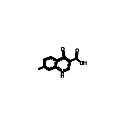 Cc1ccc2c(=O)c(C(=O)O)c[nH]c2c1